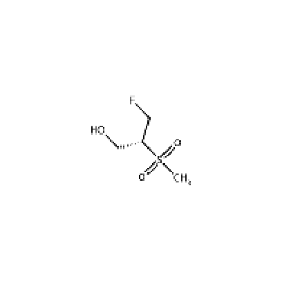 CS(=O)(=O)[C@H](CO)CF